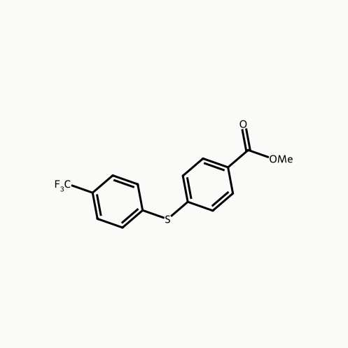 COC(=O)c1ccc(Sc2ccc(C(F)(F)F)cc2)cc1